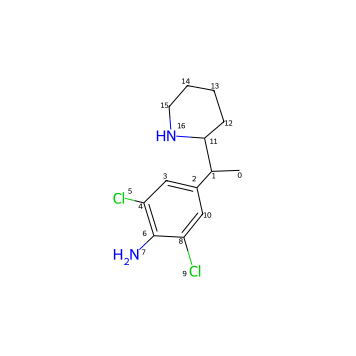 CC(c1cc(Cl)c(N)c(Cl)c1)C1CCCCN1